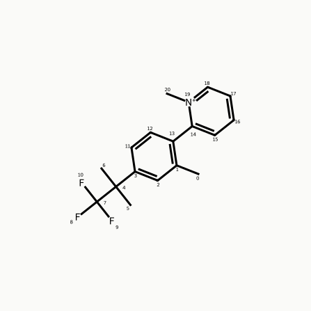 Cc1cc(C(C)(C)C(F)(F)F)ccc1-c1cccc[n+]1C